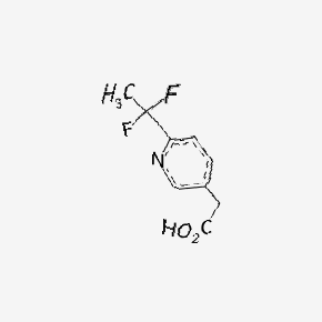 CC(F)(F)c1ccc(CC(=O)O)cn1